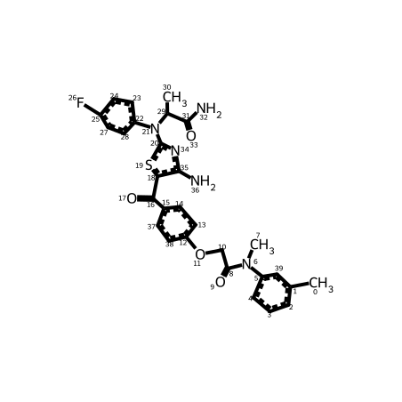 Cc1cccc(N(C)C(=O)COc2ccc(C(=O)c3sc(N(c4ccc(F)cc4)C(C)C(N)=O)nc3N)cc2)c1